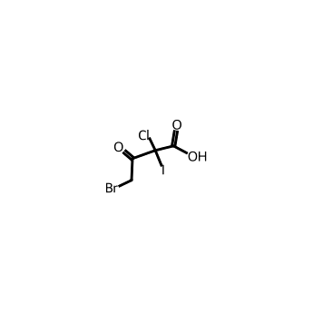 O=C(O)C(Cl)(I)C(=O)CBr